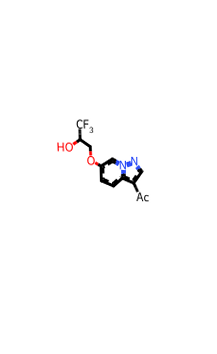 CC(=O)c1cnn2cc(OCC(O)C(F)(F)F)ccc12